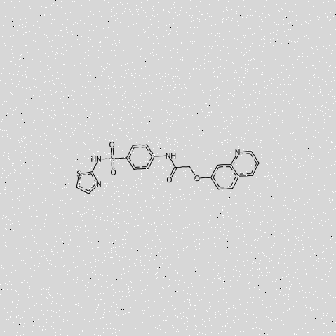 O=C(COc1ccc2cccnc2c1)Nc1ccc(S(=O)(=O)Nc2nccs2)cc1